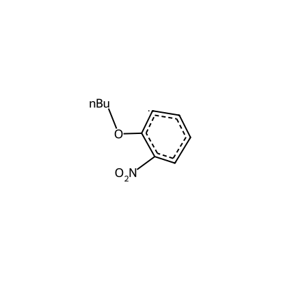 CCCCOc1[c]cccc1[N+](=O)[O-]